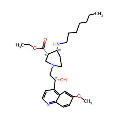 CCCCCCCN[C@@H]1CCN(C[C@H](O)c2ccnc3ccc(OC)cc23)C[C@@H]1C(=O)OCC